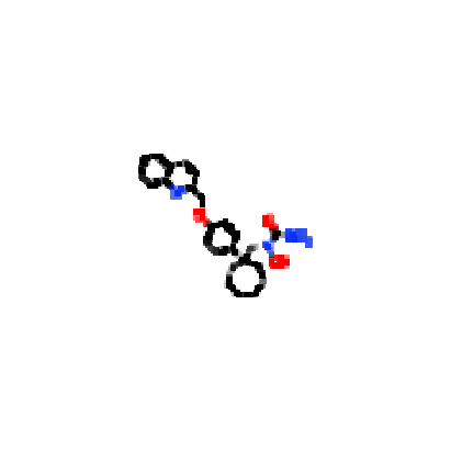 NC(=O)N(O)CC1(c2ccc(OCc3ccc4ccccc4n3)cc2)CCCCCC1